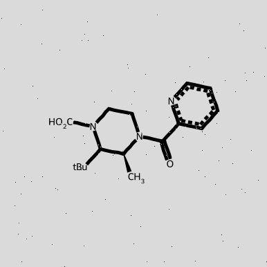 C[C@H]1C(C(C)(C)C)N(C(=O)O)CCN1C(=O)c1ccccn1